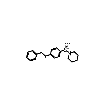 [O-][S+](c1ccc([CH]Cc2ccccc2)cc1)N1CCCCC1